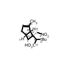 CC1=CC[C@H]2C[C@](C[N+](=O)[O-])(C(C(=O)O)C(C)(C)C)[C@@H]12